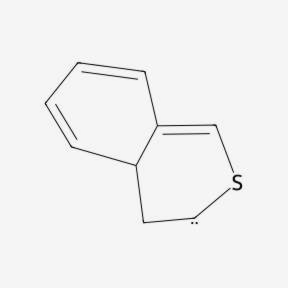 [C]1CC2C=CC=CC2=CS1